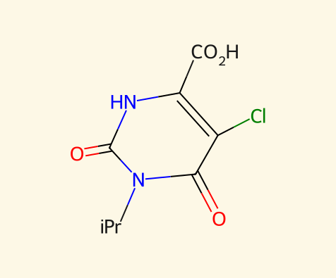 CC(C)n1c(=O)[nH]c(C(=O)O)c(Cl)c1=O